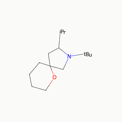 CC(C)C1CC2(CCCCO2)CN1C(C)(C)C